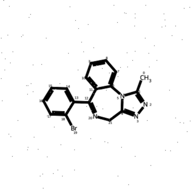 Cc1nnc2n1-c1ccccc1C(c1ccccc1Br)=NC2